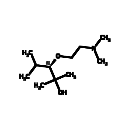 CC(C)[C@H](OCCN(C)C)C(C)(C)O